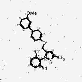 COC1C=C(C2C=CC(OCc3cc(C(F)(F)F)nn3-c3c(Cl)cccc3Cl)=CC2)C=CC1